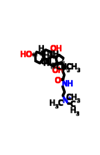 CC[N+](C)(C)CCCNC(=O)CC[C@@H](C)[C@H]1CC[C@H]2[C@@H]3[C@H](O)C[C@@H]4C[C@H](O)CC[C@]4(C)[C@H]3C[C@H](O)[C@]12C